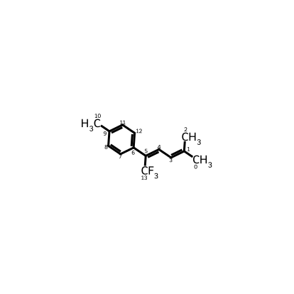 CC(C)=CC=C(c1ccc(C)cc1)C(F)(F)F